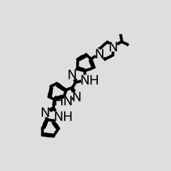 CC(C)N1CCN(c2ccc3nc(-c4n[nH]c5c(-c6nc7ccccc7[nH]6)cccc45)[nH]c3c2)CC1